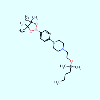 CCCC[Si](C)(C)OCCN1CCN(c2ccc(B3OC(C)(C)C(C)(C)O3)cc2)CC1